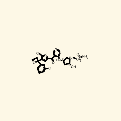 NS(=O)(=O)OC[C@H]1C[C@@H](Nc2ncncc2C(=O)c2cc(C3(c4cccc(Cl)c4)CCO3)c(Cl)s2)C[C@@H]1O